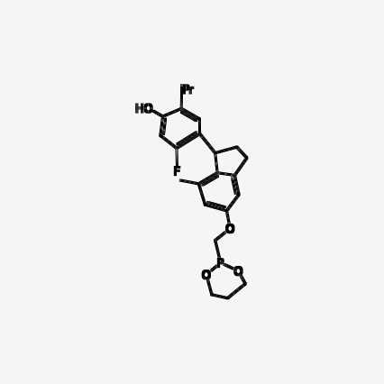 Cc1cc(OCP2OCCCO2)cc2c1C(c1cc(C(C)C)c(O)cc1F)CC2